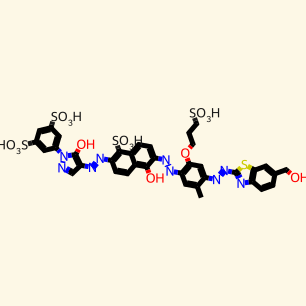 Cc1cc(N=Nc2ccc3c(S(=O)(=O)O)c(N=Nc4cnn(-c5cc(S(=O)(=O)O)cc(S(=O)(=O)O)c5)c4O)ccc3c2O)c(OCCCS(=O)(=O)O)cc1N=Nc1nc2ccc(CO)cc2s1